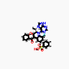 CC[C@H](Nc1ncnc2[nH]cnc12)c1oc2ccccc2c(=O)c1-c1cccc(F)c1.O=S(=O)(O)c1ccccc1